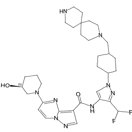 O=C(Nc1cn(C2CCC(CN3CCC4(CCNCC4)CC3)CC2)nc1C(F)F)c1cnn2ccc(N3CCC[C@H](O)C3)nc12